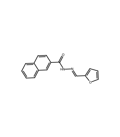 O=C(NN=Cc1ccco1)c1ccc2ccccc2c1